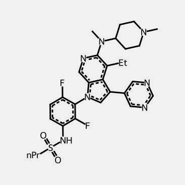 CCCS(=O)(=O)Nc1ccc(F)c(-n2cc(-c3cncnc3)c3c(CC)c(N(C)C4CCN(C)CC4)ncc32)c1F